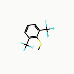 CSc1c(C(F)(F)F)cccc1C(F)(F)F